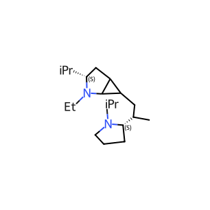 CCN1C2C(CC(C)[C@@H]3CCCN3C(C)C)C2C[C@H]1C(C)C